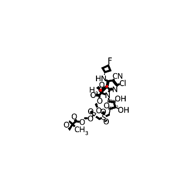 CC1(C(=O)OCOP(=O)(CS(=O)(=O)C[C@H]2O[C@@H](n3ccc4c(N[C@H]5C[C@@H](F)C5)c(C#N)c(Cl)nc43)[C@H](O)[C@@H]2O)OCOC(=O)C2(C)COC2)COC1